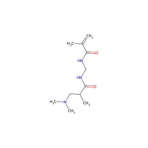 C=C(C)C(=O)NCNC(=O)C(C)CN(C)C